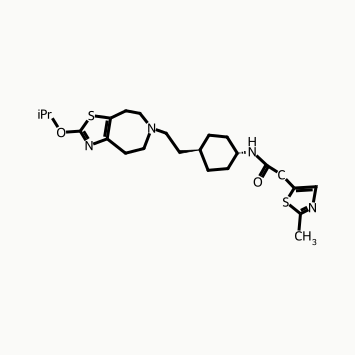 Cc1ncc(CC(=O)N[C@H]2CC[C@H](CCN3CCc4nc(OC(C)C)sc4CC3)CC2)s1